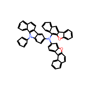 c1ccc(-n2c3ccc(N(c4ccc5c(c4)oc4ccc6ccccc6c45)c4c5ccccc5cc5c4oc4ccccc45)cc3c3ccc4ccccc4c32)cc1